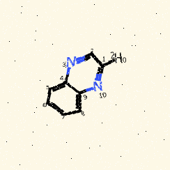 [2H]c1cnc2ccccc2n1